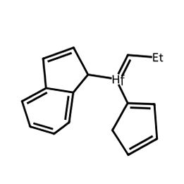 CC[CH]=[Hf]([C]1=CC=CC1)[CH]1C=Cc2ccccc21